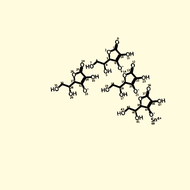 O=C1O[C@H]([C@@H](O)CO)C([O-])=C1O.O=C1O[C@H]([C@@H](O)CO)C([O-])=C1O.O=C1O[C@H]([C@@H](O)CO)C([O-])=C1O.O=C1O[C@H]([C@@H](O)CO)C([O-])=C1O.[Sn+4]